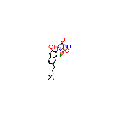 CC(C)(C)CCCc1ccc2cc(O)c(N3CC(=O)NS3(=O)=O)c(F)c2c1